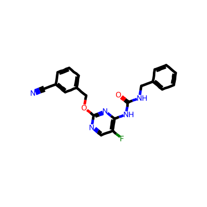 N#Cc1cccc(COc2ncc(F)c(NC(=O)NCc3ccccc3)n2)c1